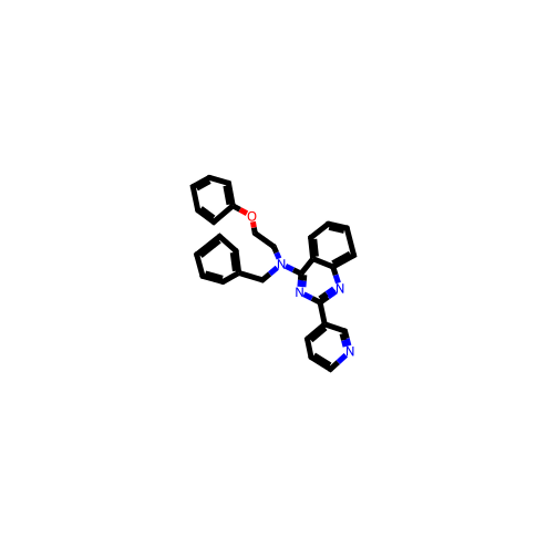 c1ccc(CN(CCOc2ccccc2)c2nc(-c3cccnc3)nc3ccccc23)cc1